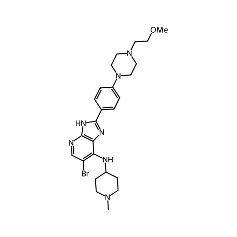 COCCN1CCN(c2ccc(-c3nc4c(NC5CCN(C)CC5)c(Br)cnc4[nH]3)cc2)CC1